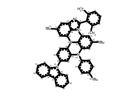 Cc1cccc(C)c1-c1nc2cc(C(C)(C)C)cc3c2n1-c1cc(C(C)(C)C)cc2c1B3c1ccc(-n3c4ccccc4c4ccccc43)cc1N2c1ccc(C(C)(C)C)cc1